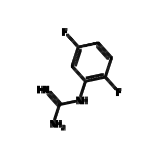 N=C(N)Nc1cc(F)ccc1F